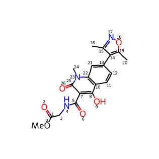 COC(=O)CNC(=O)c1c(O)c2ccc(-c3c(C)noc3C)cc2n(C)c1=O